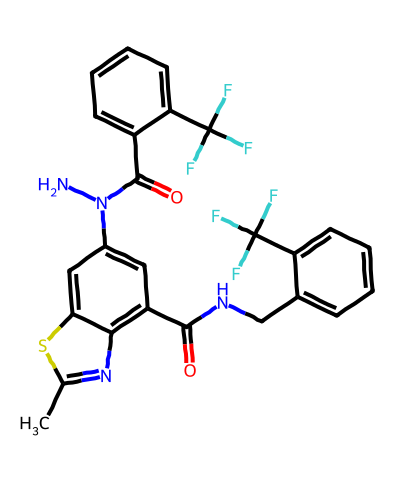 Cc1nc2c(C(=O)NCc3ccccc3C(F)(F)F)cc(N(N)C(=O)c3ccccc3C(F)(F)F)cc2s1